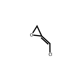 ClC=C1CO1